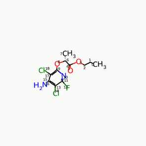 CCCOC(=O)[C@@H](C)Oc1nc(F)c(Cl)c(N)c1Cl